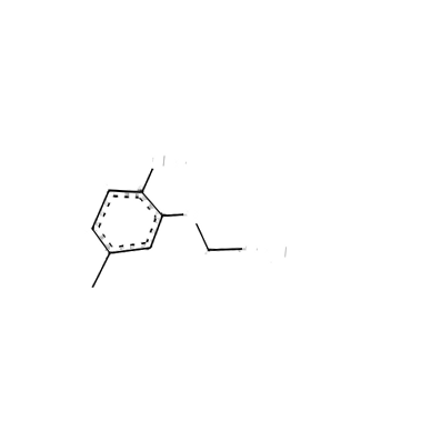 Cc1ccc(C=O)c(OCC(=O)O)c1